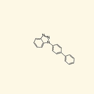 c1ccc(-c2ccc(-n3nnc4ccccc43)cc2)cc1